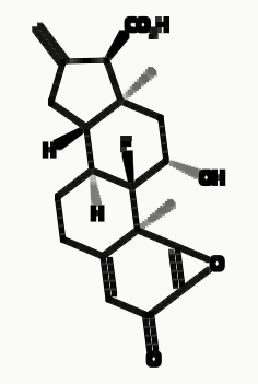 C=C1C[C@H]2[C@@H]3CCC4=CC(=O)C5=C(O5)[C@]4(C)[C@@]3(F)[C@@H](O)C[C@]2(C)[C@@H]1C(=O)O